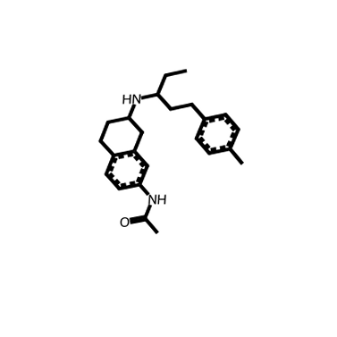 CCC(CCc1ccc(C)cc1)NC1CCc2ccc(NC(C)=O)cc2C1